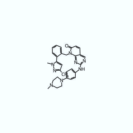 CN1CCN(c2ccc(Nc3ncc4ccc(=O)n(Cc5ccccc5-c5cc(C(F)(F)F)nn5C)c4n3)cc2)CC1